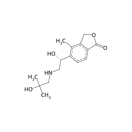 Cc1c([C@@H](O)CNCC(C)(C)O)ccc2c1COC2=O